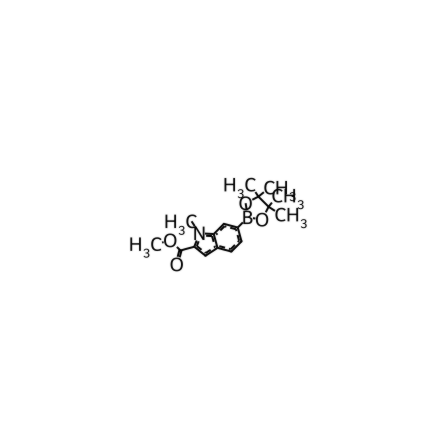 COC(=O)c1cc2ccc(B3OC(C)(C)C(C)(C)O3)cc2n1C